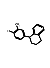 Cc1cc(C2CCCc3ccccc32)ccc1O